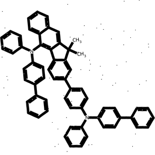 CC1(C)c2cc(-c3ccc(N(c4ccccc4)c4ccc(-c5ccccc5)cc4)cc3)ccc2-c2c1cc1ccccc1c2N(c1ccccc1)c1ccc(-c2ccccc2)cc1